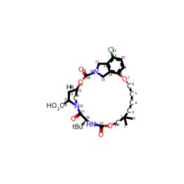 CC1(C)CCCCOc2ccc(Cl)c3c2CN(C3)C(=O)O[C@@H]2CC(C(=O)O)N(C2)C(=O)[C@H](C(C)(C)C)NC(=O)OC1